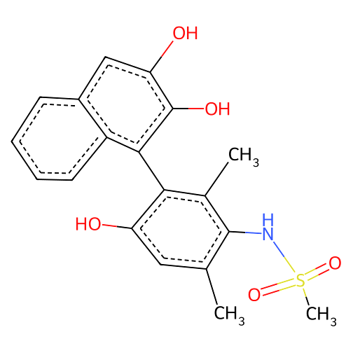 Cc1cc(O)c(-c2c(O)c(O)cc3ccccc23)c(C)c1NS(C)(=O)=O